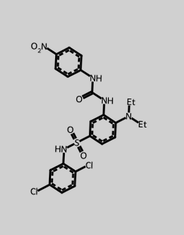 CCN(CC)c1ccc(S(=O)(=O)Nc2cc(Cl)ccc2Cl)cc1NC(=O)Nc1ccc([N+](=O)[O-])cc1